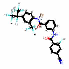 N#Cc1ccc(C(=O)Nc2cccc(C(=O)N(Br)c3ccc(C(F)(C(F)(F)F)C(F)(F)F)cc3C(F)(F)F)c2)c(F)c1